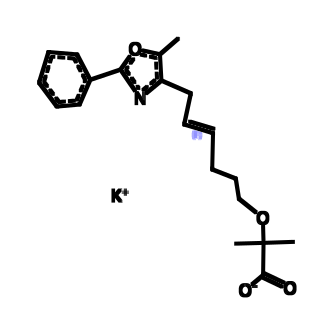 Cc1oc(-c2ccccc2)nc1C/C=C/CCCOC(C)(C)C(=O)[O-].[K+]